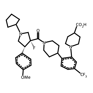 COc1ccc([C@@H]2CN(C3CCCC3)C[C@@]2(F)C(=O)N2CCC(c3ccc(C(F)(F)F)cc3N3CCC(C(=O)O)CC3)CC2)cc1